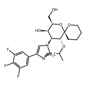 CC(O[C@@H]1[C@@H](n2cc(-c3cc(F)c(F)c(F)c3)nn2)[C@@H](O)[C@@H](CO)O[C@@]12CCCCO2)C(=O)O